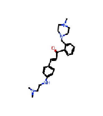 CN(C)CCNc1ccc(/C=C/C(=O)c2ccccc2CN2CCN(C)CC2)cc1